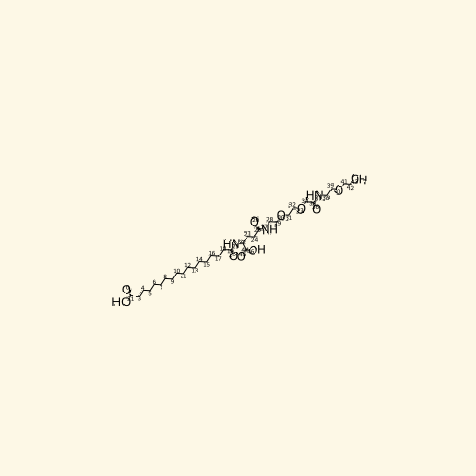 O=C(O)CCCCCCCCCCCCCCCCC(=O)NC(CCC(=O)NCCOCCOCC(=O)NCCOCCO)C(=O)O